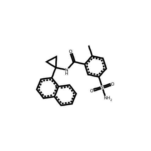 Cc1ccc(S(N)(=O)=O)cc1C(=O)NC1(c2cccc3ccccc23)CC1